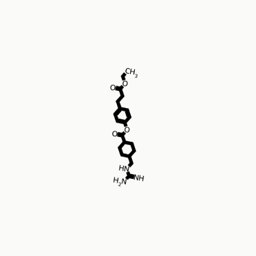 CCOC(=O)CCc1ccc(OC(=O)C2CCC(CNC(=N)N)CC2)cc1